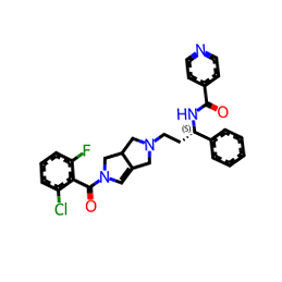 O=C(N[C@@H](CCN1CC2=CN(C(=O)c3c(F)cccc3Cl)CC2C1)c1ccccc1)c1ccncc1